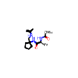 C=C(C)NCC1(NC(=O)[C@@H](NC(=O)OC)C(C)C)CCCC1